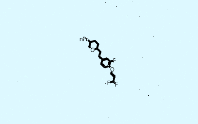 CCCC1CCC(CCc2ccc(O/C=C/C(F)F)c(F)c2)OC1